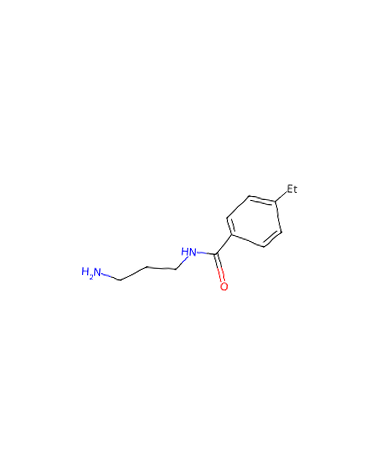 CCc1ccc(C(=O)NCCCN)cc1